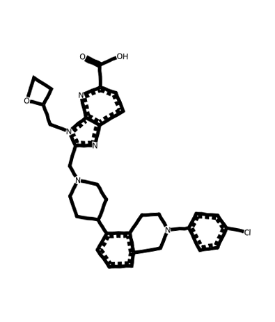 O=C(O)c1ccc2nc(CN3CCC(c4cccc5c4CCN(c4ccc(Cl)cc4)C5)CC3)n(CC3CCO3)c2n1